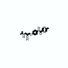 Cc1cnc(C(=O)Nc2ccc(OCC(O)CNC(C)C)cc2)cn1